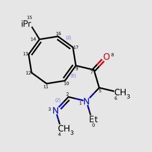 CCN(/C=N\C)C(C)C(=O)C1=C/CCC=C(C(C)C)/C=C\1